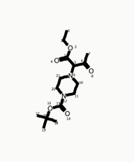 CCOC(=O)C(C(C)=O)N1CCN(C(=O)OC(C)(C)C)CC1